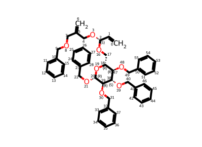 C=C[C@@H](OCC(=C)COCc1ccccc1)OC[C@H]1O[C@@H](OCc2ccccc2)[C@H](OCc2ccccc2)[C@@H](OCc2ccccc2)[C@@H]1OCc1ccccc1